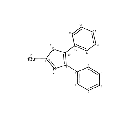 CC(C)(C)c1nc(-c2ccccc2)c(-c2ccccc2)s1